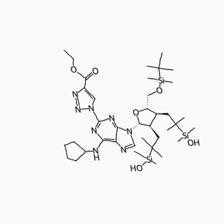 CCOC(=O)c1cn(-c2nc(NC3CCCC3)c3ncn([C@@H]4O[C@H](CO[Si](C)(C)C(C)(C)C)[C@@H](CC(C)(C)[Si](C)(C)O)[C@H]4CC(C)(C)[Si](C)(C)O)c3n2)nn1